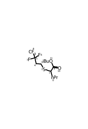 CCCC(SCCC(F)(F)C(F)(F)F)C(=O)OCC(C)C